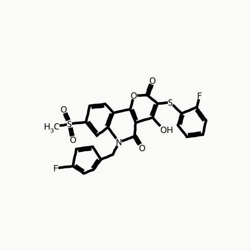 CS(=O)(=O)c1ccc2c3oc(=O)c(Sc4ccccc4F)c(O)c3c(=O)n(Cc3ccc(F)cc3)c2c1